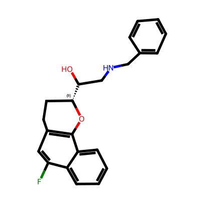 OC(CNCc1ccccc1)[C@H]1CCc2cc(F)c3ccccc3c2O1